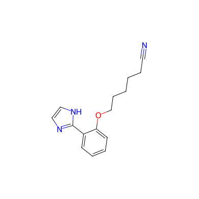 N#CCCCCCOc1ccccc1-c1ncc[nH]1